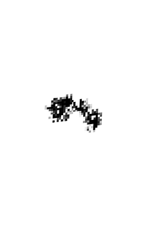 C[C@H](Nc1nccc(N2C(=O)OC[C@@H]2[C@@H](C)O)n1)c1nc(-c2ccc(F)c(Cl)c2)cs1